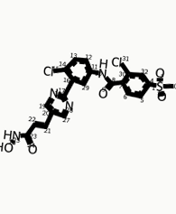 CS(=O)(=O)c1ccc(C(=O)Nc2ccc(Cl)c(-c3ncc(/C=C/C(=O)NO)cn3)c2)c(Cl)c1